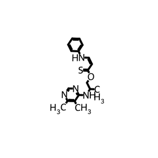 Cc1ncnc(NC(C)COC(=S)/C=C\Nc2ccccc2)c1C